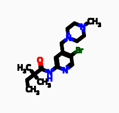 CCC(C)(C)C(=O)Nc1cc(CN2CCN(C)CC2)c(Br)cn1